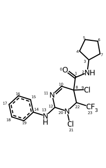 O=C(NC1CCCC1)C1(Cl)C=NC(Nc2ccccc2)N(Cl)C1C(F)(F)F